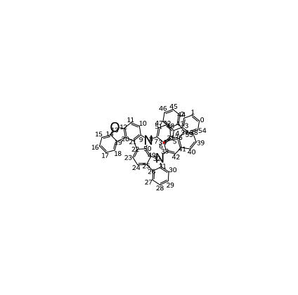 c1ccc(-c2ccc(-n3c4ccc5oc6ccccc6c5c4c4ccc5c6ccccc6n(-c6cc7c8c(cccc8c6)-c6ccccc6-7)c5c43)cc2)cc1